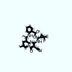 Cc1cc([C@@H](C)Nc2ccccc2C(=O)O)c2nc(NCC3CC3(F)F)c(C#N)c(=O)n2c1